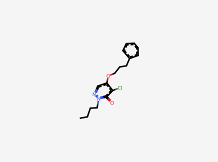 CCCCn1ncc(OCCCc2ccccc2)c(Cl)c1=O